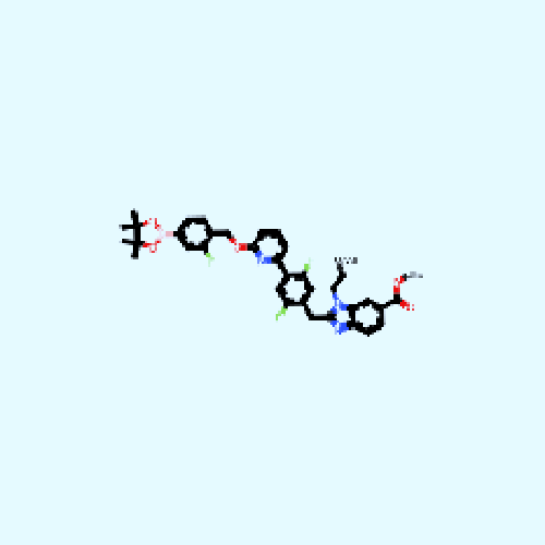 COCCn1c(Cc2cc(F)c(-c3cccc(OCc4ccc(B5OC(C)(C)C(C)(C)O5)cc4F)n3)cc2F)nc2ccc(C(=O)OC(C)(C)C)cc21